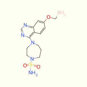 BCOc1ccc2c(N3CCCN(S(N)(=O)=O)CC3)ncnc2c1